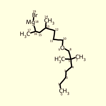 CCCCCC(C)(C)COCCCC(C)C[CH](C)[Mg][Br]